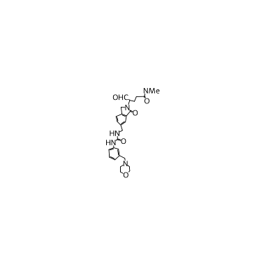 CNC(=O)CCC(C=O)N1Cc2ccc(CNC(=O)Nc3cccc(CN4CCOCC4)c3)cc2C1=O